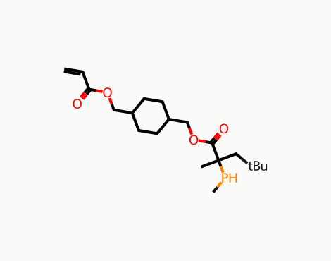 C=CC(=O)OCC1CCC(COC(=O)C(C)(CC(C)(C)C)PC)CC1